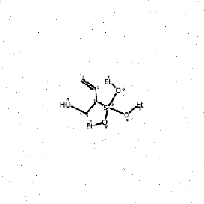 C=CC(CO)[Si](OCC)(OCC)OCC